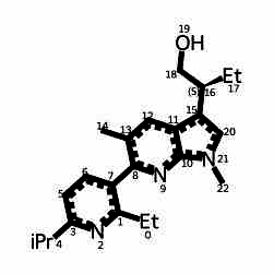 CCc1nc(C(C)C)ccc1-c1nc2c(cc1C)c([C@H](CC)CO)cn2C